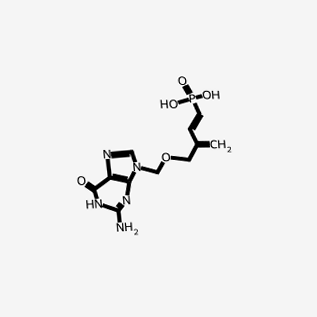 C=C(C=CP(=O)(O)O)COCn1cnc2c(=O)[nH]c(N)nc21